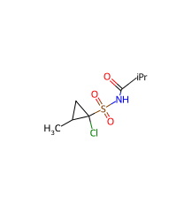 CC(C)C(=O)NS(=O)(=O)C1(Cl)CC1C